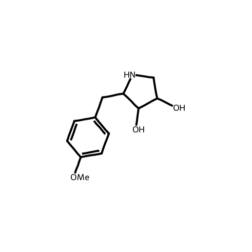 COc1ccc(CC2NCC(O)C2O)cc1